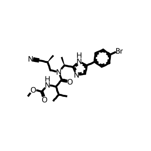 COC(=O)NC(C(=O)N(C[C@H](C)C#N)[C@@H](C)c1ncc(-c2ccc(Br)cc2)[nH]1)C(C)C